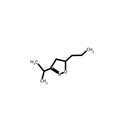 CCCC1CC(C(C)C)=NO1